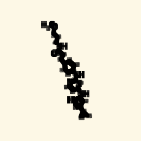 COCCCNC(=O)CCc1ccc(Nc2nccc(Nc3cc(C4CC4)n[nH]3)n2)cc1